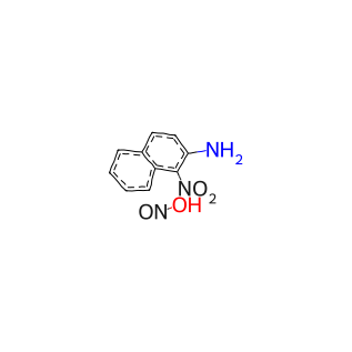 Nc1ccc2ccccc2c1[N+](=O)[O-].O=NO